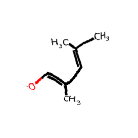 CC(C)=CC(C)=C[O]